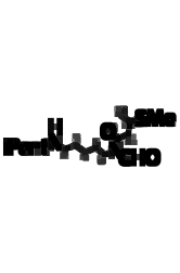 CCCC(C)NCCCCCN(C=O)C(=O)CC(C)SC